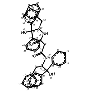 O=C(CC(=O)N[C@H](Cc1ccccc1)C(O)(c1ccccc1)c1ccccc1)N[C@H](Cc1ccccc1)C(O)(c1ccccc1)c1ccccc1